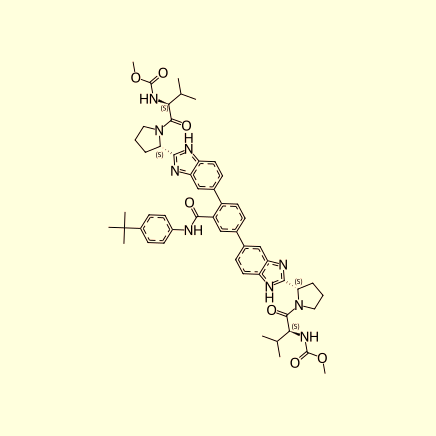 COC(=O)N[C@H](C(=O)N1CCC[C@H]1c1nc2cc(-c3ccc(-c4ccc5[nH]c([C@@H]6CCCN6C(=O)[C@@H](NC(=O)OC)C(C)C)nc5c4)c(C(=O)Nc4ccc(C(C)(C)C)cc4)c3)ccc2[nH]1)C(C)C